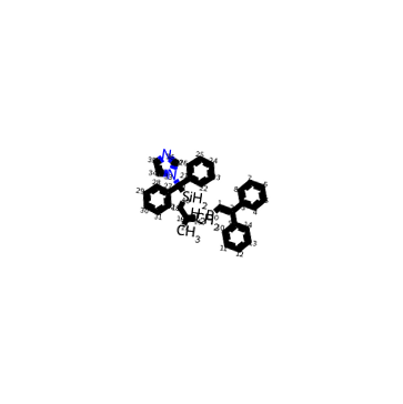 BC=C(c1ccccc1)c1ccccc1.C=C(C)C[SiH2]C(c1ccccc1)(c1ccccc1)n1ccnc1